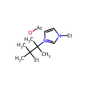 CC(=O)[O-].CCn1cc[n+](C(C)(C)C(C)(C)CC)c1